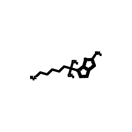 CCCCCCC(C)(C)n1ccc2cc(N)oc21